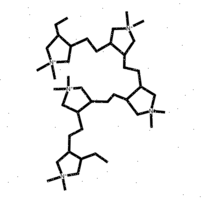 CCC1C[N+](C)(C)CC1CCC1C[N+](C)(C)CC1CCC1C[N+](C)(C)CC1CCC1C[N+](C)(C)CC1CCC1C[N+](C)(C)CC1CC